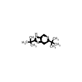 CC(C)(C)c1cc2nc(C(C)(C)C)[nH]c2cn1